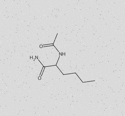 CCCCC(NC(C)=O)C(N)=O